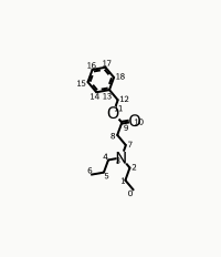 CCCN(CCC)CCC(=O)OCc1ccccc1